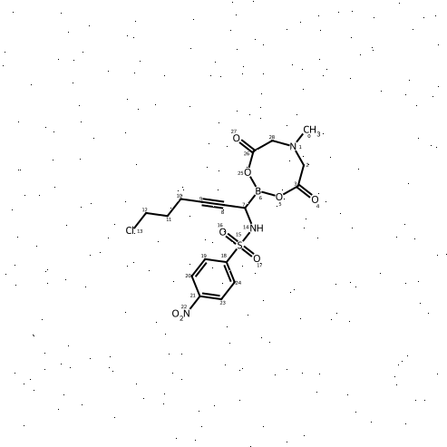 CN1CC(=O)OB(C(C#CCCCCl)NS(=O)(=O)c2ccc([N+](=O)[O-])cc2)OC(=O)C1